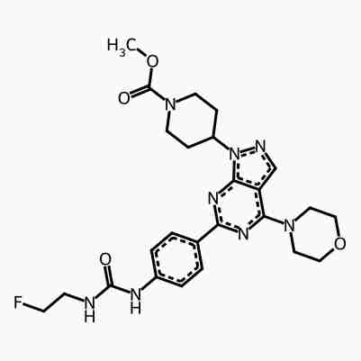 COC(=O)N1CCC(n2ncc3c(N4CCOCC4)nc(-c4ccc(NC(=O)NCCF)cc4)nc32)CC1